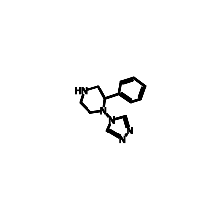 c1ccc(C2CNCCN2n2cnnc2)cc1